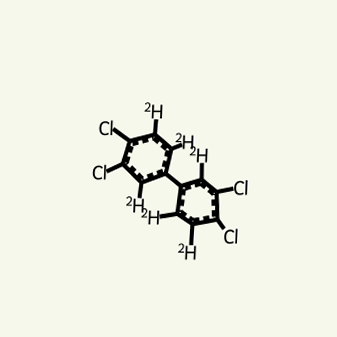 [2H]c1c([2H])c(-c2c([2H])c([2H])c(Cl)c(Cl)c2[2H])c([2H])c(Cl)c1Cl